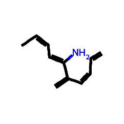 C=C/C=C\C(=C)/C(N)=C/C=C\C